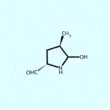 C[C@@H]1C[C@@H](C=O)NC1O